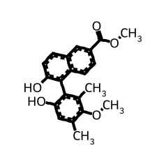 COC(=O)c1ccc2c(-c3c(O)cc(C)c(OC)c3C)c(O)ccc2c1